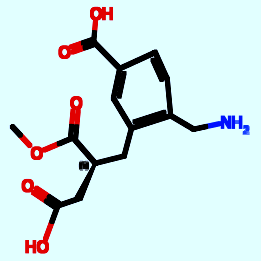 COC(=O)[C@H](CC(=O)O)Cc1cc(C(=O)O)ccc1CN